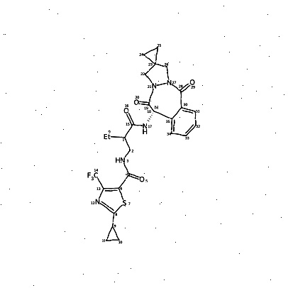 CCC(CNC(=O)c1sc(C2CC2)nc1C(F)(F)F)C(=O)N[C@@H]1C(=O)N2CC3(CC3)CN2C(=O)c2ccccc21